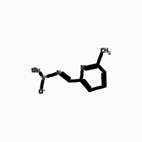 Cc1cccc(C=N[S+]([O-])C(C)(C)C)n1